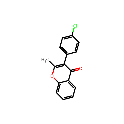 Cc1oc2ccccc2c(=O)c1-c1ccc(Cl)cc1